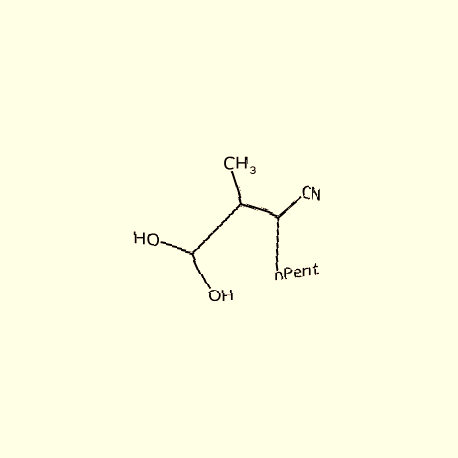 CCCCCC(C#N)C(C)C(O)O